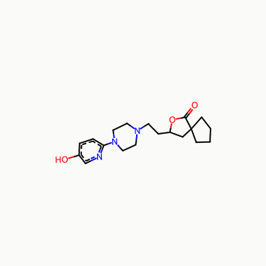 O=C1OC(CCN2CCN(c3ccc(O)cn3)CC2)CC12CCCC2